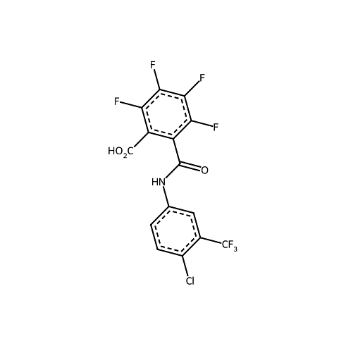 O=C(O)c1c(F)c(F)c(F)c(F)c1C(=O)Nc1ccc(Cl)c(C(F)(F)F)c1